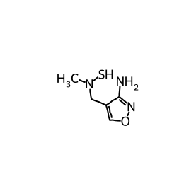 CN(S)Cc1conc1N